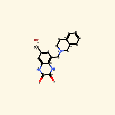 Br.O=c1[nH]c2cc([N+](=O)[O-])cc(CN3CCc4ccccc4C3)c2[nH]c1=O